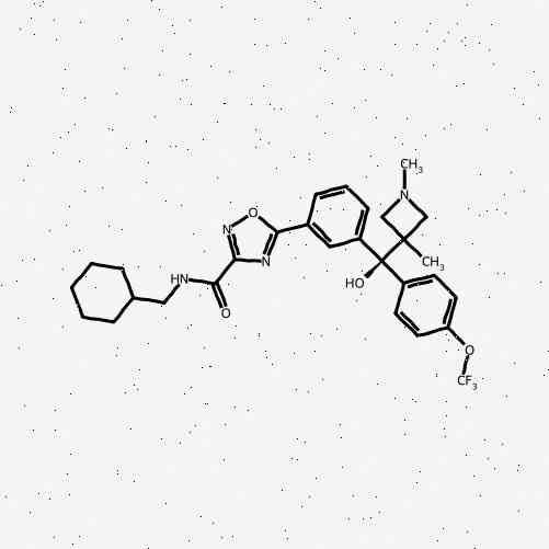 CN1CC(C)([C@](O)(c2ccc(OC(F)(F)F)cc2)c2cccc(-c3nc(C(=O)NCC4CCCCC4)no3)c2)C1